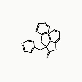 O=C1Oc2ccccc2C1(Cc1ccncc1)Cc1ccncc1